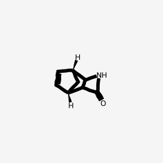 O=C1NC2C1[C@@H]1C=C[C@H]2C1